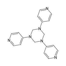 c1cc(N2CN(c3ccncc3)CN(c3ccncc3)C2)ccn1